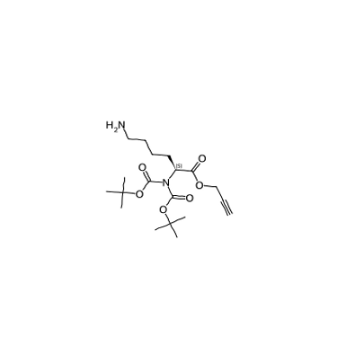 C#CCOC(=O)[C@H](CCCCN)N(C(=O)OC(C)(C)C)C(=O)OC(C)(C)C